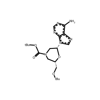 CC(C)(C)OC[C@@H]1CN(C(=O)OC(C)(C)C)C[C@H](n2cnc3c(N)ncnc32)O1